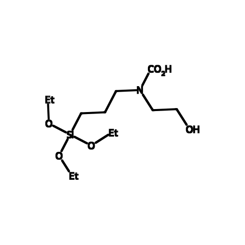 CCO[Si](CCCN(CCO)C(=O)O)(OCC)OCC